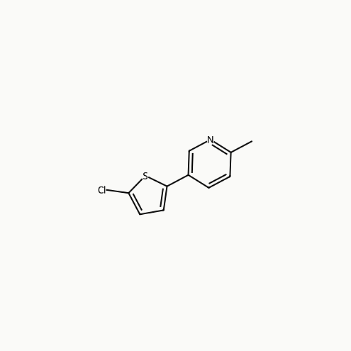 Cc1ccc(-c2ccc(Cl)s2)cn1